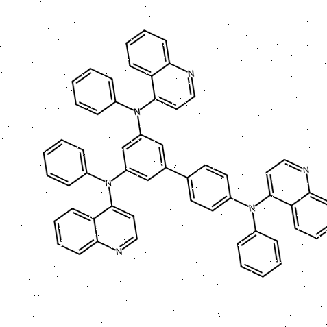 c1ccc(N(c2ccc(-c3cc(N(c4ccccc4)c4ccnc5ccccc45)cc(N(c4ccccc4)c4ccnc5ccccc45)c3)cc2)c2ccnc3ccccc23)cc1